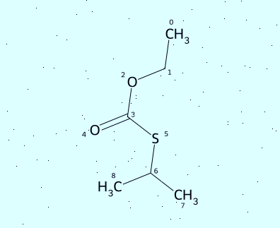 CCOC(=O)SC(C)C